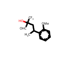 COc1ccccc1C(C)CC(O)(C=O)C(F)(F)F